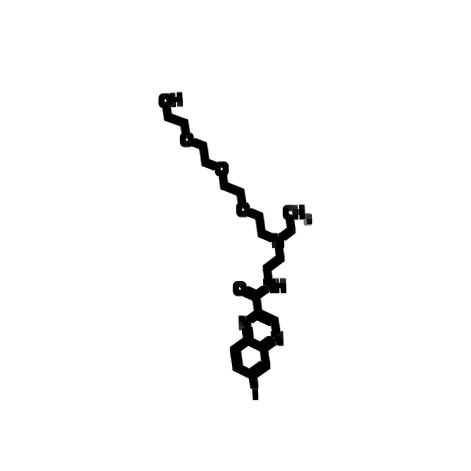 CCN(CCNC(=O)c1cnc2cc(I)ccc2n1)CCOCCOCCOCCO